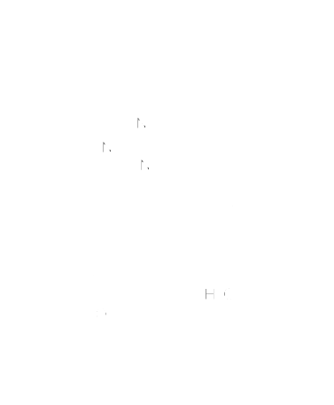 Cc1ccccc1-c1cc(-c2cc3c(oc4cccc(-c5ccc(-c6nc(-c7ccccc7)nc(-c7ccccc7)n6)cc5)c43)c3ccccc23)ccc1-c1ccccc1